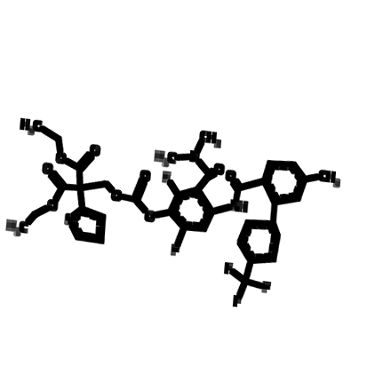 CCOC(=O)C(COC(=O)Oc1c(F)cc(NC(=O)c2ccc(C)cc2-c2ccc(C(F)(F)F)cc2)c(C(=O)N(C)C)c1F)(C(=O)OCC)c1cccs1